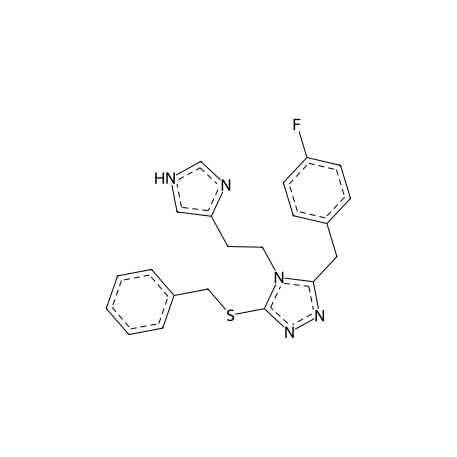 Fc1ccc(Cc2nnc(SCc3ccccc3)n2CCc2c[nH]cn2)cc1